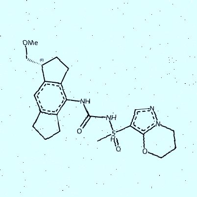 COC[C@@H]1CCc2c1cc1c(c2NC(=O)N[SH](C)(=O)c2cnn3c2OCCC3)CCC1